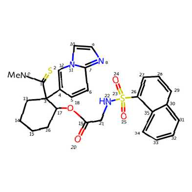 CNC(=S)C1(c2ccc3nccn3c2)CCCCC1OC(=O)CNS(=O)(=O)c1cccc2ccccc12